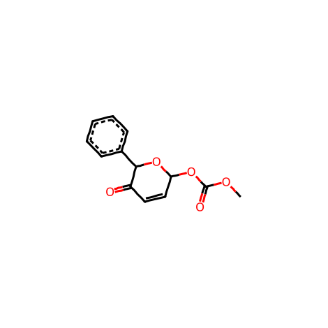 COC(=O)OC1C=CC(=O)C(c2ccccc2)O1